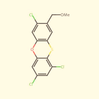 COCc1cc2c(cc1Cl)Oc1cc(Cl)cc(Cl)c1S2